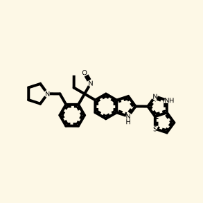 CCC(N=O)(c1ccc2[nH]c(-c3n[nH]c4ccsc34)cc2c1)c1ccccc1CN1CCCC1